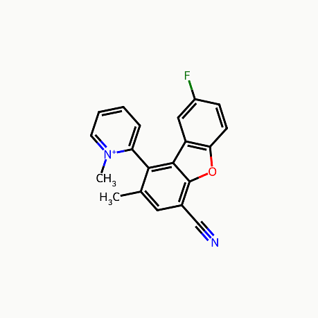 Cc1cc(C#N)c2oc3ccc(F)cc3c2c1-c1cccc[n+]1C